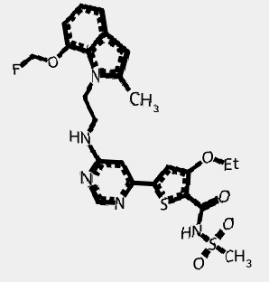 CCOc1cc(-c2cc(NCCn3c(C)cc4cccc(OCF)c43)ncn2)sc1C(=O)NS(C)(=O)=O